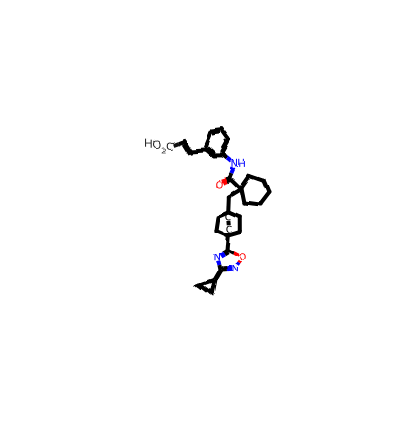 O=C(O)/C=C/c1cccc(NC(=O)C2(CC34CCC(c5nc(C6CC6)no5)(CC3)CC4)CCCCC2)c1